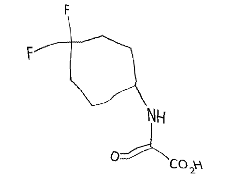 O=C(O)C(=O)NC1CCC(F)(F)CC1